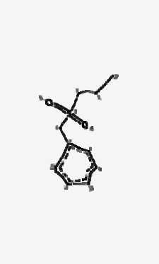 [CH2]CCS(=O)(=O)Cc1ccccc1